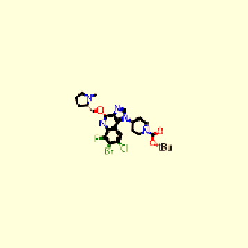 CN1CCC[C@H]1COc1nc2c(F)c(Br)c(Cl)cc2c2c1ncn2C1CCN(C(=O)OC(C)(C)C)CC1